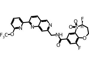 O=C(NCc1cc2nc(-c3cccc(OC(F)(F)F)n3)ccc2cn1)c1cc(F)c2c(c1)S(=O)(=O)[C@@H](F)CCO2